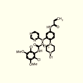 C=CC(=O)Nc1ccc(N2CCN(CC)CC2)c(N(c2ccncn2)N(C)C(=O)Nc2c(Cl)c(OC)cc(OC)c2Cl)c1